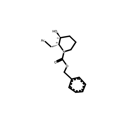 CC(=O)C[C@@H]1[C@@H](O)CCCN1C(=O)OCc1ccccc1